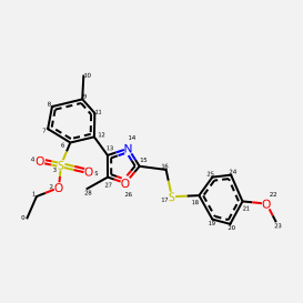 CCOS(=O)(=O)c1ccc(C)cc1-c1nc(CSc2ccc(OC)cc2)oc1C